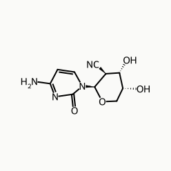 N#C[C@H]1[C@H](O)[C@H](O)CO[C@H]1n1ccc(N)nc1=O